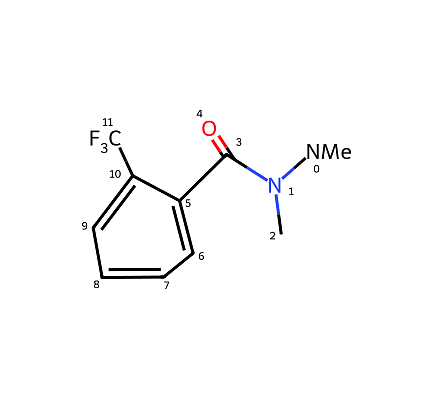 CNN(C)C(=O)c1ccccc1C(F)(F)F